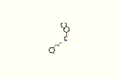 NC(CNc1cc(-c2ccc3cnccc3c2)on1)Cc1cccc(Cl)c1